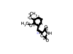 COc1cccc(/C=C2/OC(=O)NC2=O)c1OC